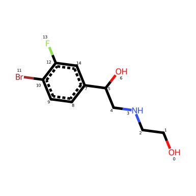 OCCNCC(O)c1ccc(Br)c(F)c1